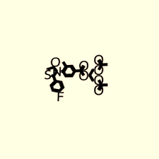 CC(=O)OCC(COC(C)=O)OC(=O)c1ccc(N2C(=O)CSC2c2ccc(F)cc2)c(C)c1